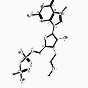 COCC[C@H]1[C@@H](O)[C@H](n2c[n+](C)c3c(=O)[nH]c(N)nc32)O[C@@H]1COP(=O)(O)OP(C)(=O)O